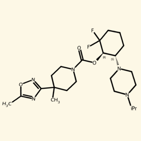 Cc1nc(C2(C)CCN(C(=O)O[C@@H]3[C@@H](N4CCN(C(C)C)CC4)CCCC3(F)F)CC2)no1